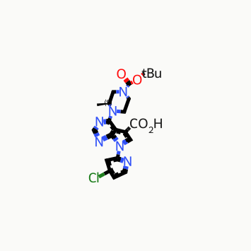 C[C@H]1CN(C(=O)OC(C)(C)C)CCN1c1ncnc2c1c(C(=O)O)cn2-c1cc(Cl)ccn1